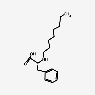 CCCCCCCCN[C@@H](Cc1ccccc1)C(=O)O